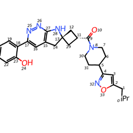 CC(C)Cc1cc(C2CCN(C(=O)[C@H]3C[C@]4(Cc5cc(-c6ccccc6O)nnc5N4)C3)CC2)no1